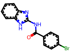 O=C(Nc1nc2ccccc2[nH]1)c1ccc(Br)cc1